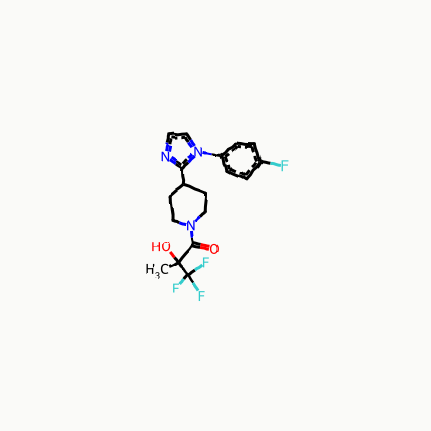 CC(O)(C(=O)N1CCC(c2nccn2-c2ccc(F)cc2)CC1)C(F)(F)F